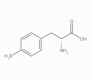 Bc1ccc(C[C@@H](N)C(=O)O)cc1